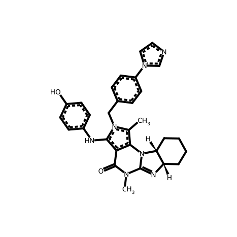 Cc1c2c(c(Nc3ccc(O)cc3)n1Cc1ccc(-n3ccnc3)cc1)C(=O)N(C)C1=N[C@H]3CCCC[C@H]3N12